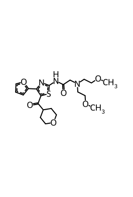 COCCN(CCOC)CC(=O)Nc1nc(-c2ccco2)c(C(=O)C2CCOCC2)s1